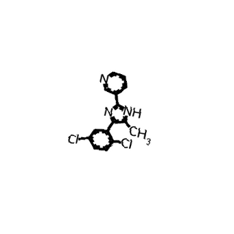 Cc1[nH]c(-c2cccnc2)nc1-c1cc(Cl)ccc1Cl